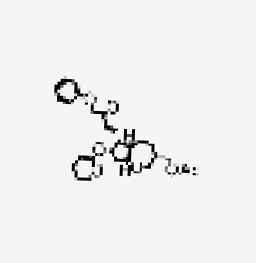 CC(=O)OC[C@H]1CC[C@@H]2[C@@H](/C=C/C(=O)COc3ccccc3)[C@H](OC3CCCCO3)C[C@@H]2OC1